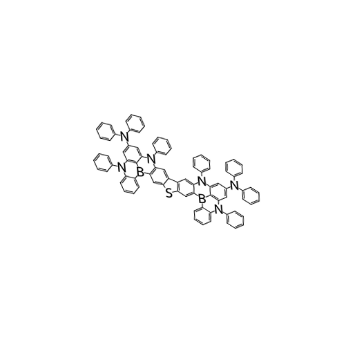 c1ccc(N(c2ccccc2)c2cc3c4c(c2)N(c2ccccc2)c2cc5c(cc2B4c2ccccc2N3c2ccccc2)sc2cc3c(cc25)N(c2ccccc2)c2cc(N(c4ccccc4)c4ccccc4)cc4c2B3c2ccccc2N4c2ccccc2)cc1